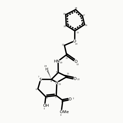 COC(=O)C1=C(O)CS[C@H]2C(NC(=O)COc3ccccc3)C(=O)N12